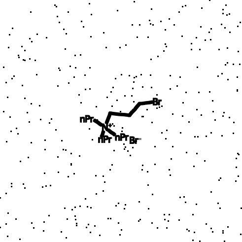 CCC[N+](CCC)(CCC)CCCBr.[Br-]